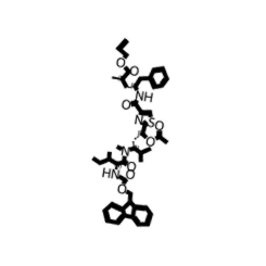 C=CCOC(=O)[C@H](C)C[C@H](Cc1ccccc1)NC(=O)c1csc([C@@H](C[C@H](C(C)C)N(C)C(=O)[C@@H](NC(=O)OCC2c3ccccc3-c3ccccc32)C(C)CC)OC(C)=O)n1